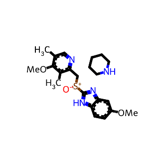 C1CCNCC1.COc1ccc2[nH]c([S+]([O-])Cc3ncc(C)c(OC)c3C)nc2c1